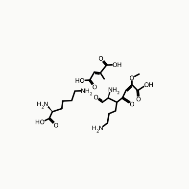 C/C(=C\C(=O)O)C(=O)O.CO/C(=C/C(=O)C(CCCN)[C@H](N)C=O)C(=O)O.NCCCC[C@H](N)C(=O)O